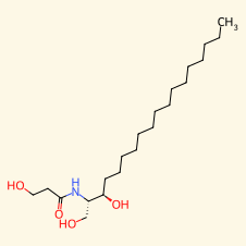 CCCCCCCCCCCCCCC[C@@H](O)[C@H](CO)NC(=O)CCO